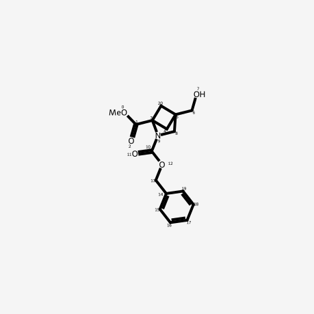 COC(=O)C12CC(CO)(CN1C(=O)OCc1ccccc1)C2